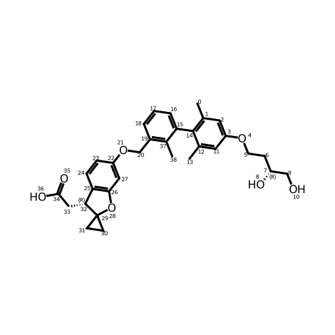 Cc1cc(OCC[C@@H](O)CO)cc(C)c1-c1cccc(COc2ccc3c(c2)OC2(CC2)[C@@H]3CC(=O)O)c1C